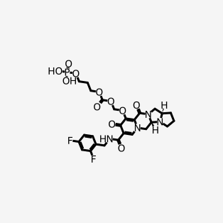 O=C(OCCCOP(=O)(O)O)OCOc1c2n(cc(C(=O)NCc3ccc(F)cc3F)c1=O)C[C@@H]1N(C[C@H]3CCCN31)C2=O